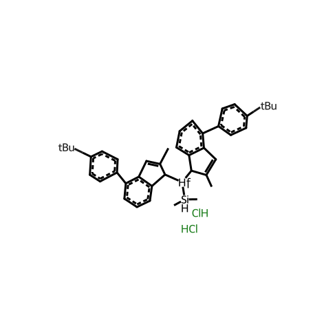 CC1=Cc2c(-c3ccc(C(C)(C)C)cc3)cccc2[CH]1[Hf]([CH]1C(C)=Cc2c(-c3ccc(C(C)(C)C)cc3)cccc21)[SiH](C)C.Cl.Cl